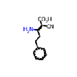 N#C/C(C(=O)O)=C(/N)CCc1ccccc1